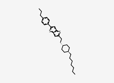 CCCCCCC[C@H]1CC[C@H](CCc2cc3sc(-c4ccc(CCC)cc4)cc3s2)CC1